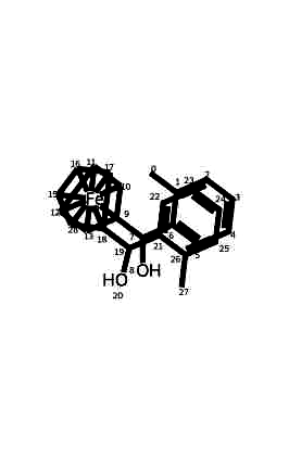 Cc1ccccc1C(O)[C]12[CH]3[CH]4[CH]5[CH]1[Fe]45321678[CH]2[CH]1[CH]6[C]7(C(O)c1ccccc1C)[CH]28